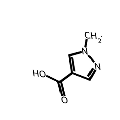 [CH2]n1cc(C(=O)O)cn1